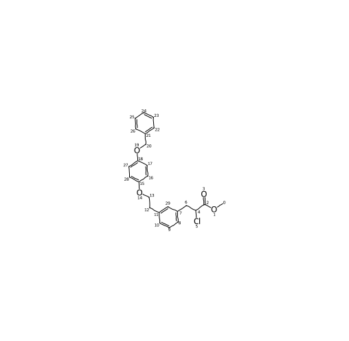 COC(=O)C(Cl)Cc1cccc(CCOc2ccc(OCc3ccccc3)cc2)c1